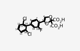 O=C(O)C1(C(=O)O)OC=C(c2ccc(-c3c(Cl)cccc3Cl)cc2F)O1